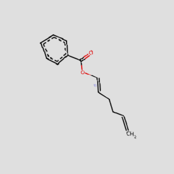 C=CCC/C=C/OC(=O)c1ccccc1